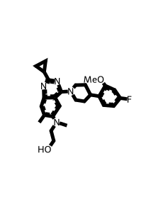 COc1cc(F)ccc1C1CCN(c2nc(C3CC3)nc3cc(C)c(N(C)CCO)cc23)CC1